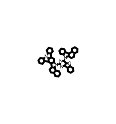 c1ccc2c(c1)ccc1c2c2ccccc2n1-c1nc(-n2c3cc4c5ccccc5n5c6ccccc6c(c3c3ccc6ccccc6c32)c45)nc2c1oc1ccccc12